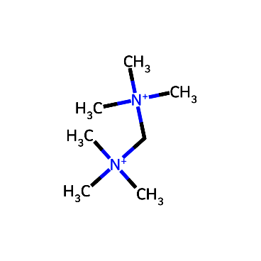 C[N+](C)(C)C[N+](C)(C)C